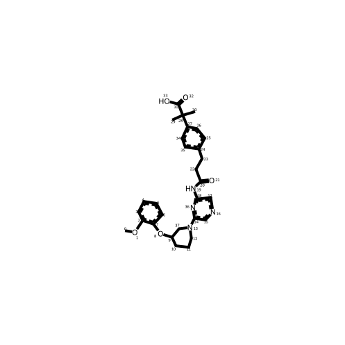 COc1ccccc1OC1CCCN(c2cncc(NC(=O)CCc3ccc(C(C)(C)C(=O)O)cc3)n2)C1